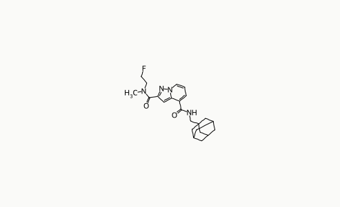 CN(CCF)C(=O)c1cc2c(C(=O)NCC34CC5CC(CC(C5)C3)C4)cccn2n1